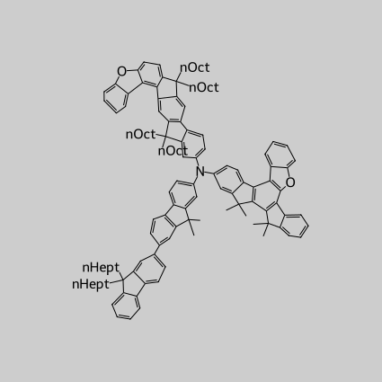 CCCCCCCCC1(CCCCCCCC)c2cc(N(c3ccc4c(c3)C(C)(C)c3cc(-c5ccc6c(c5)C(CCCCCCC)(CCCCCCC)c5ccccc5-6)ccc3-4)c3ccc4c(c3)C(C)(C)c3c5c(c6oc7ccccc7c6c3-4)-c3ccccc3C5(C)C)ccc2-c2cc3c(cc21)-c1c(ccc2oc4ccccc4c12)C3(CCCCCCCC)CCCCCCCC